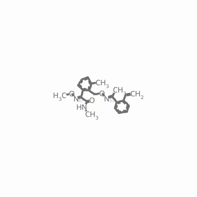 C=Cc1ccccc1/C(C)=N/OCc1c(C)cccc1/C(=N\OC)C(=O)NC